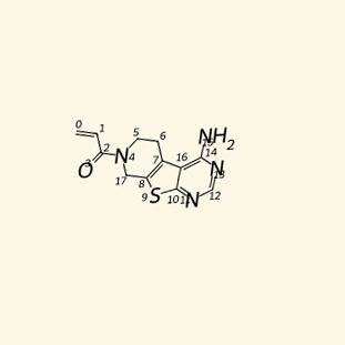 C=CC(=O)N1CCc2c(sc3ncnc(N)c23)C1